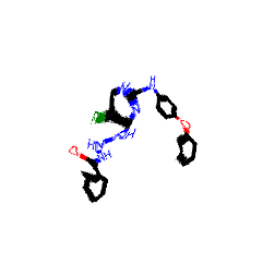 O=C(NNNc1nc(Nc2ccc(Oc3ccccc3)cc2)ncc1F)c1ccccc1